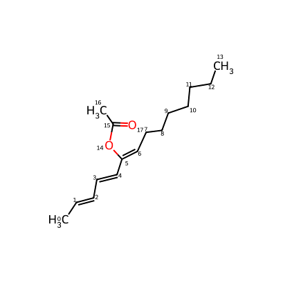 C/C=C/C=C/C(=C/CCCCCCC)OC(C)=O